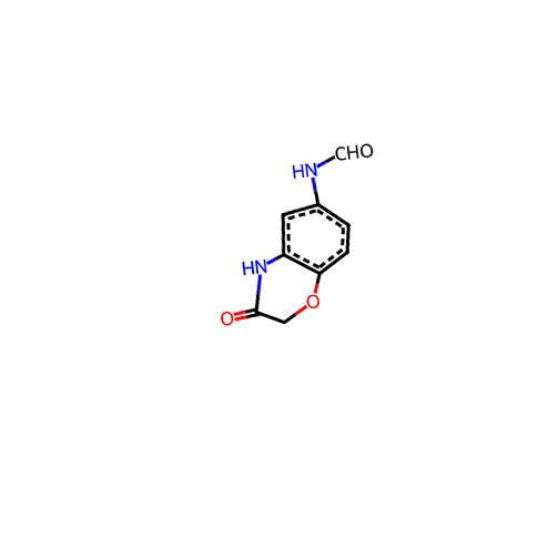 O=CNc1ccc2c(c1)NC(=O)CO2